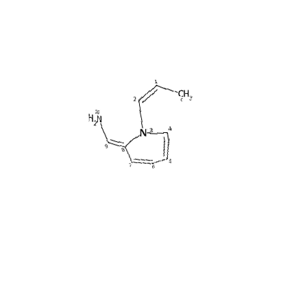 C/C=C\N1C=CC=C/C1=C/N